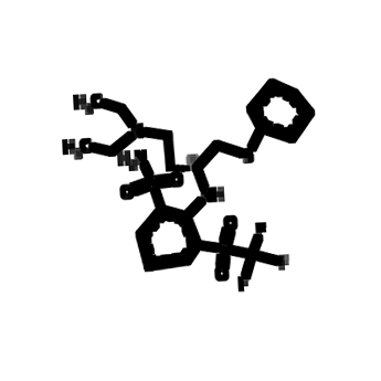 CCN(CC)CC[C@H](CSc1ccccc1)Nc1c(S(N)(=O)=O)cccc1S(=O)(=O)C(F)(F)F